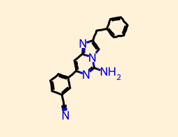 N#Cc1cccc(-c2cc3nc(Cc4ccccc4)cn3c(N)n2)c1